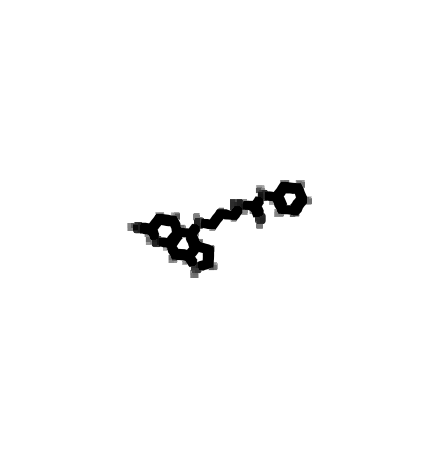 O=C(NCCCOc1c2ccoc2cc2oc(=O)ccc12)Oc1ccccc1